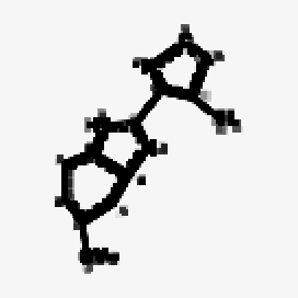 COc1ccc2[nH]c(-c3nonc3N)nc2c1